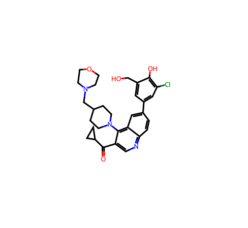 O=C(c1cnc2ccc(-c3cc(Cl)c(O)c(CO)c3)cc2c1N1CCC(CN2CCOCC2)CC1)C1CC1